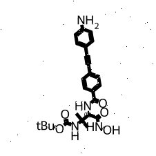 CC(C)(C)OC(=O)NC(C)(C)[C@H](NC(=O)c1ccc(C#Cc2ccc(N)cc2)cc1)C(=O)NO